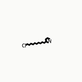 ClCCCCCCCCCCc1cccnc1